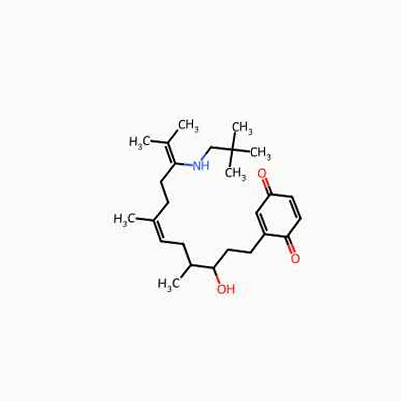 CC(=CCC(C)C(O)CCC1=CC(=O)C=CC1=O)CCC(NCC(C)(C)C)=C(C)C